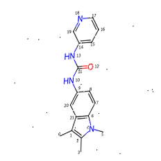 Cc1c(C)n(C)c2ccc(NC(=O)Nc3cccnc3)cc12